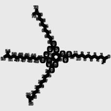 CC(C)CCCCCCCCCCOC(=O)OC1CC(OC(=O)OCCCCCCCCCCC(C)C)C(OC(=O)OCCCCCCCCCCC(C)C)CC1OC(=O)OCCCCCCCCCCC(C)C